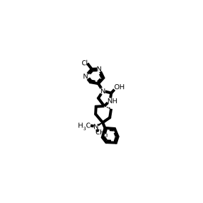 CN(C)[C@]1(c2ccccc2)CC[C@]2(CC1)CN(c1cnc(Cl)nc1)C(O)N2